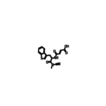 CN(C#N)C(=O)C(Cc1csc2ccccc12)NC(=O)C=CC(=O)O